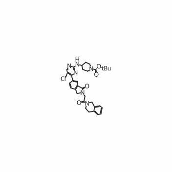 CC(C)(C)OC(=O)N1CCC(Nc2ncc(Cl)c(-c3ccc4c(c3)C(=O)N(CC(=O)N3CCc5ccccc5C3)C4)n2)CC1